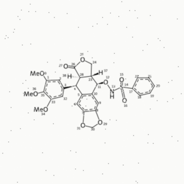 COc1cc([C@@H]2c3cc4c(cc3[C@H](ONS(=O)(=O)c3ccccc3)[C@H]3COC(=O)[C@H]23)OCO4)cc(OC)c1OC